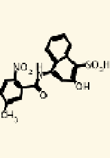 Cc1ccc([N+](=O)[O-])c(C(=O)Nc2cc(O)c(S(=O)(=O)O)c3ccccc23)c1